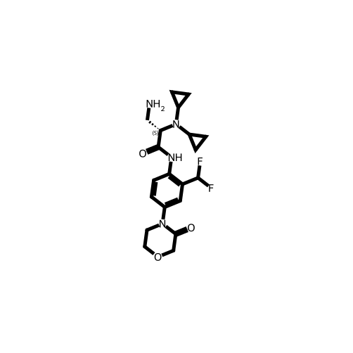 NC[C@@H](C(=O)Nc1ccc(N2CCOCC2=O)cc1C(F)F)N(C1CC1)C1CC1